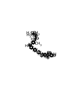 Cc1cc(-c2n[nH]c3ccc(-c4ccc(N5CCC(N(C)Cc6cc7c(cc6F)C(=O)N(C6CCC(=O)NC6=O)C7=O)CC5)cc4)cc23)ccc1CNC(=O)c1nc(C(C)(C)C)no1